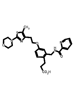 Cc1sc(N2CCOCC2)nc1CCOc1ccc(CCC(=O)O)c(CNC(=O)c2ccccn2)c1